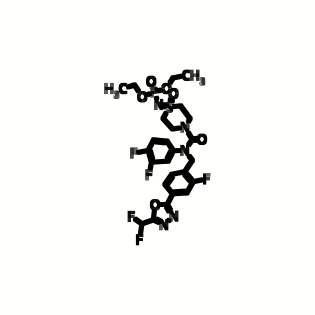 CCOP(=O)(N=S1(=O)CCN(C(=O)N(Cc2ccc(-c3nnc(C(F)F)o3)cc2F)c2ccc(F)c(F)c2)CC1)OCC